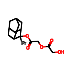 CC(C)C1(OC(=O)COC(=O)CO)C2CC3CC(C2)CC1C3